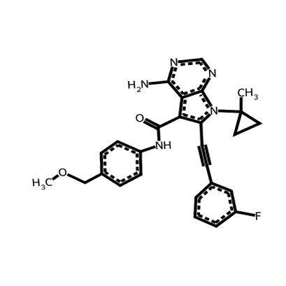 COCc1ccc(NC(=O)c2c(C#Cc3cccc(F)c3)n(C3(C)CC3)c3ncnc(N)c23)cc1